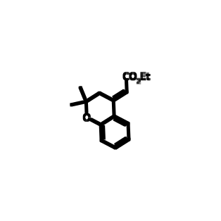 CCOC(=O)C=C1CC(C)(C)Oc2ccccc21